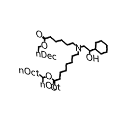 CCCCCCCCCCCOC(=O)CCCCCN(CCCCCCCC(=O)OC(CCCCCCCC)CCCCCCCC)CC(O)C1CCCCC1